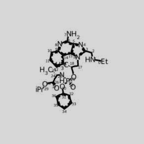 CCNCc1nc2c(N)nc3ccccc3c2n1C[C@@H](C)O[P@](=O)(N[C@@H](C)C(=O)OC(C)C)Oc1ccccc1